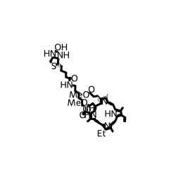 C=Cc1c(C)c2cc3nc(c(CC(=O)OC)c4[nH]c(cc5nc(cc1[nH]2)C(C)=C5CC)c(C)c4C(=O)NCCCCCCNC(=O)CCCC[C@@H]1SCC2NC(O)NC21)[C@@H](CCC(=O)OC)[C@@H]3C